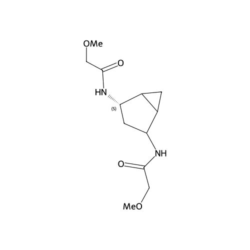 COCC(=O)NC1C[C@H](NC(=O)COC)C2CC12